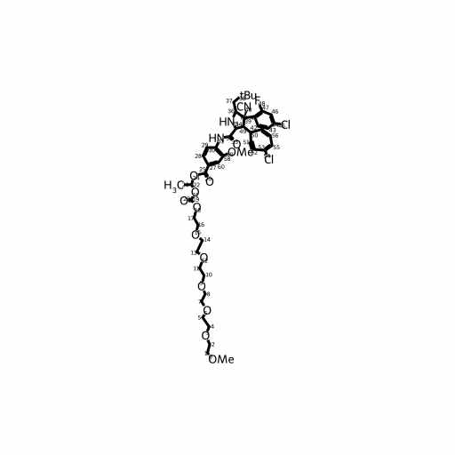 COCCOCCOCCOCCOCCOCCOC(=O)OC(C)OC(=O)c1ccc(NC(=O)C2NC(CC(C)(C)C)[C@](C#N)(c3ccc(Cl)cc3F)C2C2C#CC(Cl)=CC=C2)c(OC)c1